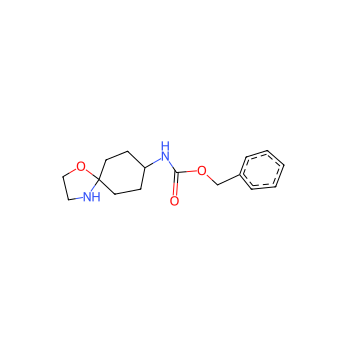 O=C(NC1CCC2(CC1)NCCO2)OCc1ccccc1